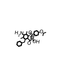 Cc1c(N)c(C)c(S(=O)(=O)c2ccc(OC(C)C)cc2)c(C(=O)NO)c1Cc1ccccc1